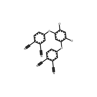 N#Cc1ccc(Oc2cc(Oc3ccc(C#N)c(C#N)c3)c(Cl)cc2Cl)cc1C#N